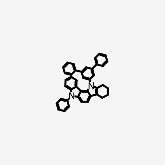 c1ccc(-c2cc(-c3ccccc3)cc(-n3c4c(c5ccc6c(c7ccccc7n6-c6ccccc6)c53)CCCC4)c2)cc1